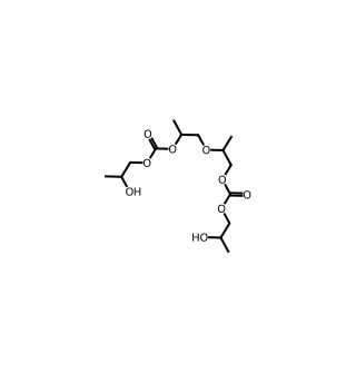 CC(O)COC(=O)OCC(C)OCC(C)OC(=O)OCC(C)O